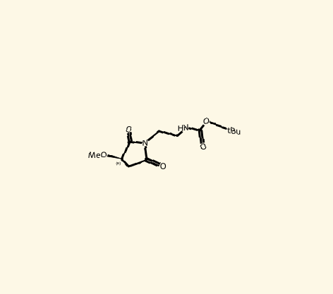 CO[C@@H]1CC(=O)N(CCNC(=O)OC(C)(C)C)C1=O